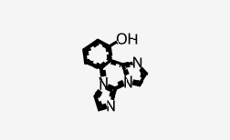 Oc1cccc2c1c1nccn1c1nccn21